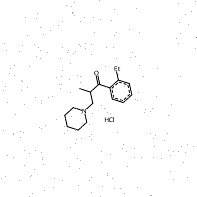 CCc1ccccc1C(=O)C(C)CN1CCCCC1.Cl